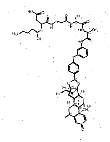 CCCCC(C)SC(CC(=O)O)C(=O)NCCC(=O)N[C@@H](C)C(=O)N[C@@H](C)C(=O)Nc1cccc(Sc2ccc([C@@H]3O[C@@H]4CC5[C@@H]6C[C@H](F)C7=CC(=O)C=C[C@]7(C)[C@@]6(F)[C@@H](O)C[C@]5(C)[C@]4(C(=O)CO)O3)cc2)c1